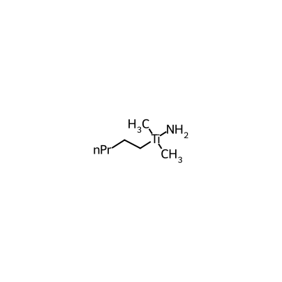 CCCC[CH2][Ti]([CH3])([CH3])[NH2]